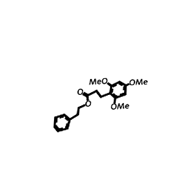 COc1cc(OC)c(CCC(=O)OCCc2ccccc2)c(OC)c1